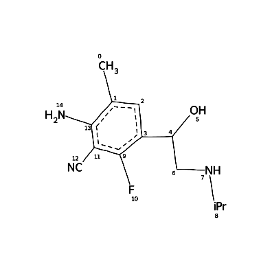 Cc1cc(C(O)CNC(C)C)c(F)c(C#N)c1N